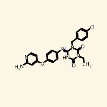 CCn1c(=O)[nH]/c(=N\c2ccc(Oc3ccnc(N)c3)cc2)n(Cc2ccc(Cl)cc2)c1=O